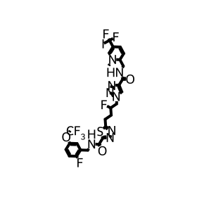 CN1C=C(C(F)(F)I)C=CC1CNC(=O)c1cn(CC(F)CCc2nnc(C(=O)NCc3cc(OC(F)(F)F)ccc3F)s2)nn1